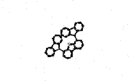 c1ccc2c(c1)-c1ccccc1C2c1cccc2c1sc1c(C3c4ccccc4-c4ccccc43)cccc12